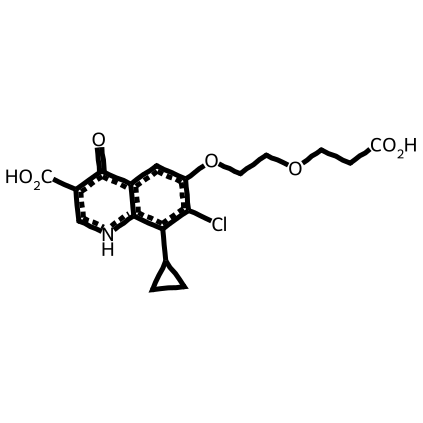 O=C(O)CCOCCOc1cc2c(=O)c(C(=O)O)c[nH]c2c(C2CC2)c1Cl